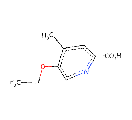 Cc1cc(C(=O)O)ncc1OCC(F)(F)F